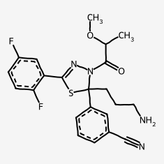 COC(C)C(=O)N1N=C(c2cc(F)ccc2F)SC1(CCCN)c1cccc(C#N)c1